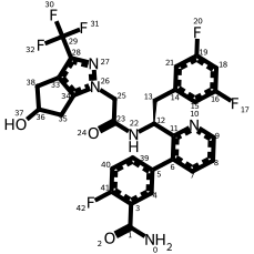 NC(=O)c1cc(-c2cccnc2[C@H](Cc2cc(F)cc(F)c2)NC(=O)Cn2nc(C(F)(F)F)c3c2CC(O)C3)ccc1F